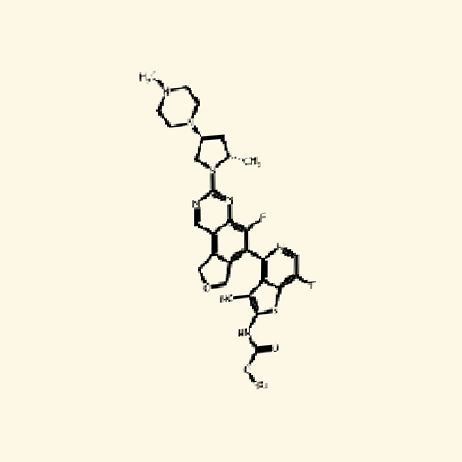 C[C@H]1C[C@H](N2CCN(C)CC2)CN1c1ncc2c3c(c(-c4ncc(F)c5sc(NC(=O)OC(C)(C)C)c(C#N)c45)c(F)c2n1)COC3